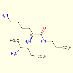 NC(CCC(=O)O)C(=O)O.NCCCC[C@H](N)C(=O)NCCC(=O)O